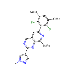 CNc1nc(-c2c(F)c(OC)cc(OC)c2F)cc2cnc(-c3cnn(C)c3)nc12